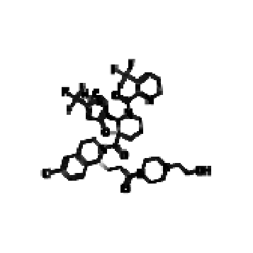 CCC[C@H]1N(C(=O)c2ncccc2C(F)(F)F)CCC[C@@]1(Oc1csc(C(F)(F)F)c1)C(=O)N1CCc2cc(Cl)ccc2[C@H]1CCC(=O)N1CCN(CCO)CC1